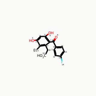 CCc1c(O)cc(O)c(C(=O)c2ccc(F)cc2)c1CC(=O)O